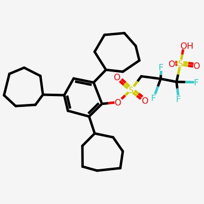 O=S(=O)(CC(F)(F)C(F)(F)S(=O)(=O)O)Oc1c(C2CCCCCC2)cc(C2CCCCCC2)cc1C1CCCCCC1